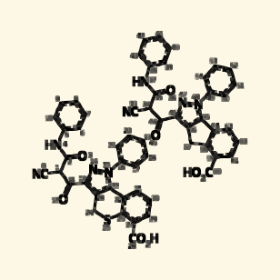 N#CC(C(=O)Nc1ccccc1)C(=O)c1nn(-c2ccccc2)c2c1CSc1c(C(=O)O)cccc1-2.N#CC(C(=O)Nc1ccccc1)C(=O)c1nn(-c2ccccc2)c2c1Cc1c(C(=O)O)cccc1-2